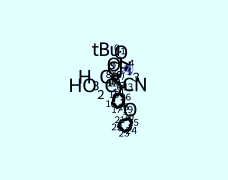 CC(C)(C)OC(=O)/C=C\[C@H]1C(C)(C)[C@]1(C(=O)O)[C@@H](C#N)c1cccc(Oc2ccccc2)c1